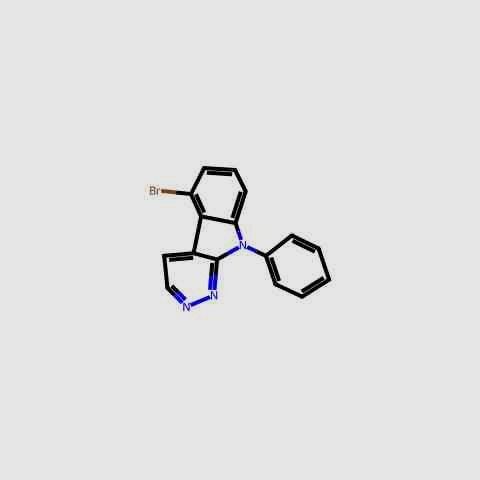 Brc1cccc2c1c1ccnnc1n2-c1ccccc1